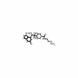 COCCNC(=O)N1CCC(C(C)(C)[C@@H](O)c2cc(Cl)cc3cn[nH]c23)CC1